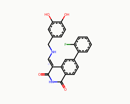 O=C1NC(=O)c2ccc(-c3ccccc3F)cc2/C1=C\NCc1ccc(O)c(O)c1